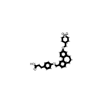 O=C(O)CCc1ccc(OCc2ccc3c(c2)-c2ccc(OCC4CCS(=O)(=O)CC4)cc2CCC3)cc1